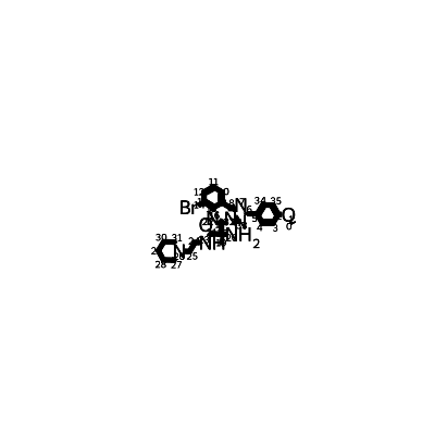 COc1ccc(-c2nc3c4cccc(Br)c4nc([C@](C)(N)C(=O)NCCN4CCCCC4)n3n2)cc1